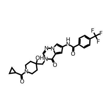 O=C(Nc1cc2c(=O)n(CC3(O)CCN(C(=O)C4CC4)CC3)cnn2c1)c1ccc(C(F)(F)F)cc1